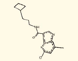 Cc1cc(Cl)nn2c(C(=O)NCCCC3CCC3)cnc12